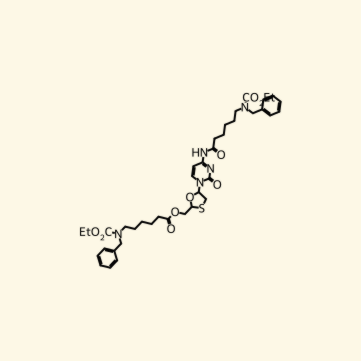 CCOC(=O)N(CCCCCC(=O)Nc1ccn(C2CSC(COC(=O)CCCCCN(Cc3ccccc3)C(=O)OCC)O2)c(=O)n1)Cc1ccccc1